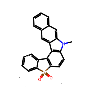 Cn1c2cc3ccccc3cc2c2c3c(ccc21)S(=O)(=O)c1ccccc1-3